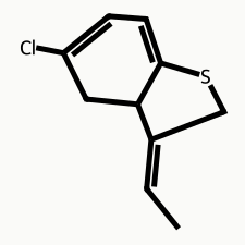 CC=C1CSC2=CC=C(Cl)CC12